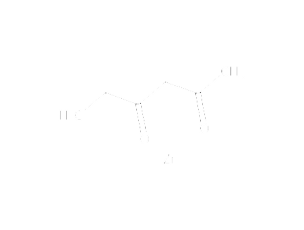 CCC(=O)CC(C)=O.[Zr]